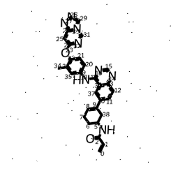 C=CC(=O)NC1CCC=C(c2ccc3ncnc(Nc4ccc(Oc5cc6nncn6cn5)c(C)c4)c3c2)C1